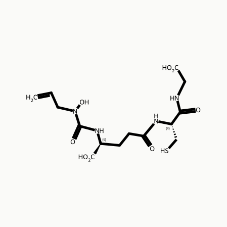 C=CCN(O)C(=O)N[C@@H](CCC(=O)N[C@@H](CS)C(=O)NCC(=O)O)C(=O)O